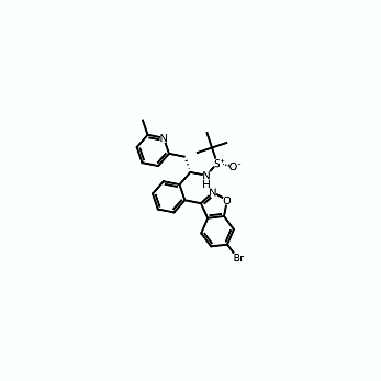 Cc1cccc(C[C@H](N[S@@+]([O-])C(C)(C)C)c2ccccc2-c2noc3cc(Br)ccc23)n1